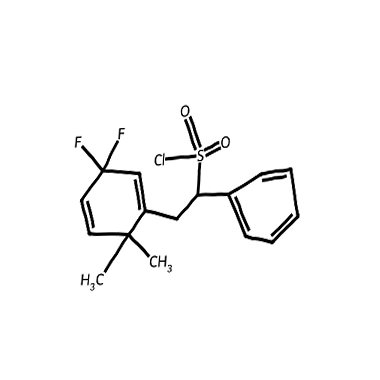 CC1(C)C=CC(F)(F)C=C1CC(c1ccccc1)S(=O)(=O)Cl